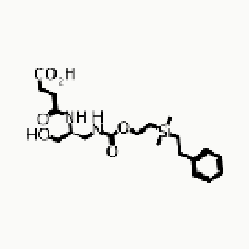 C[Si](C)(CCOC(=O)NC[C@@H](CO)NC(=O)CCC(=O)O)CCc1ccccc1